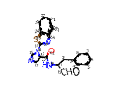 O=C[C@H](Cc1ccccc1)NC(=O)c1cncn1-c1nc2ccccc2s1